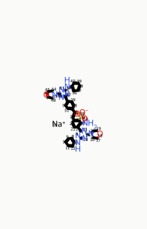 Nc1c(-c2nc(Nc3ccccc3)nc(N3CCOCC3)n2)ccc(C=Cc2ccc(-c3nc(Nc4ccccc4)nc(N4CCOCC4)n3)cc2)c1S(=O)(=O)[O-].[Na+]